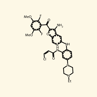 CCN1CCN(c2ccc(Nc3cc4c(N)c(C(=O)c5c(F)c(OC)cc(OC)c5F)oc4cn3)c(NC(=O)/C=C\Cl)c2)CC1